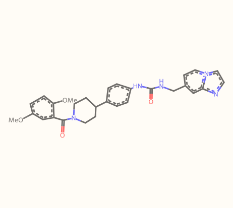 COc1ccc(OC)c(C(=O)N2CCC(c3ccc(NC(=O)NCc4ccn5ccnc5c4)cc3)CC2)c1